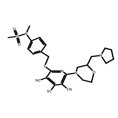 CCc1c(C#N)c(SCc2ccc(N(C)S(C)(=O)=O)cc2)nc(N2CCOC(CN3CCCC3)C2)c1C#N